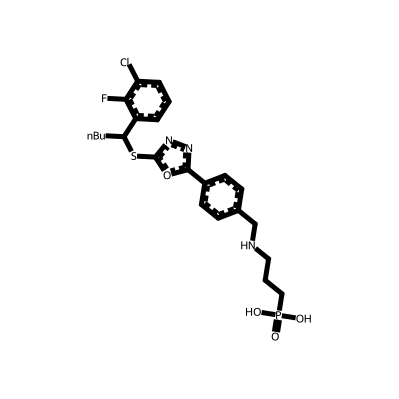 CCCCC(Sc1nnc(-c2ccc(CNCCCP(=O)(O)O)cc2)o1)c1cccc(Cl)c1F